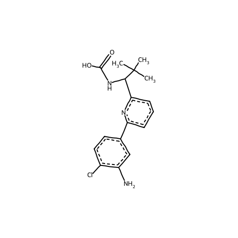 CC(C)(C)C(NC(=O)O)c1cccc(-c2ccc(Cl)c(N)c2)n1